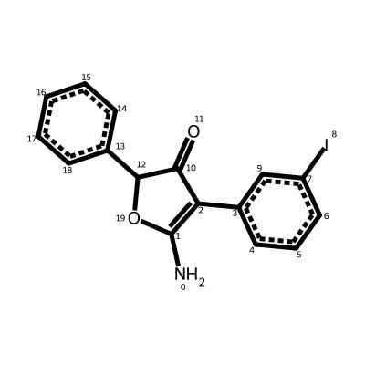 NC1=C(c2cccc(I)c2)C(=O)C(c2ccccc2)O1